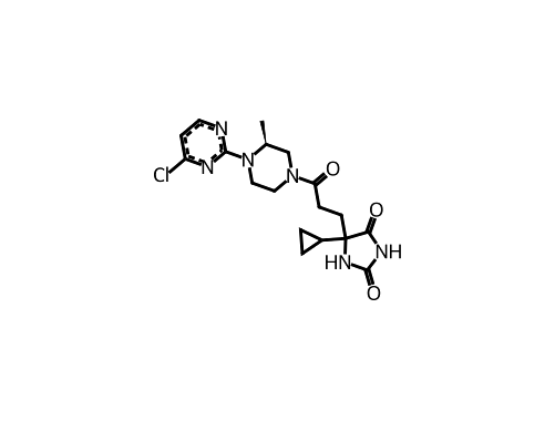 C[C@H]1CN(C(=O)CCC2(C3CC3)NC(=O)NC2=O)CCN1c1nccc(Cl)n1